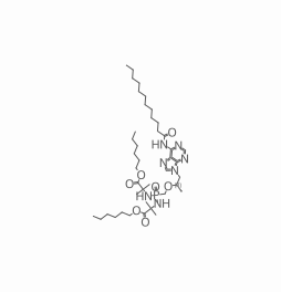 CCCCCCCCCCCC(=O)Nc1ncnc2c1ncn2C[C@@H](C)OCP(=O)(NC(C)(C)C(=O)OCCCCCC)NC(C)(C)C(=O)OCCCCCC